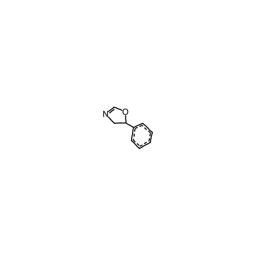 C1=NCC(c2ccccc2)O1